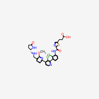 COc1nc(-c2ccnc(-c3cccc(NC(=O)c4ncc(CCC(=O)O)s4)c3Cl)c2Cl)ccc1CNC[C@@H]1CCC(=O)N1